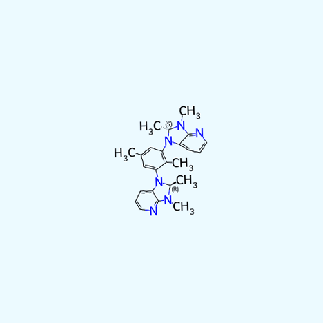 Cc1cc(N2c3cccnc3N(C)[C@H]2C)c(C)c(N2c3cccnc3N(C)[C@@H]2C)c1